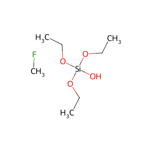 CCO[Si](O)(OCC)OCC.CF